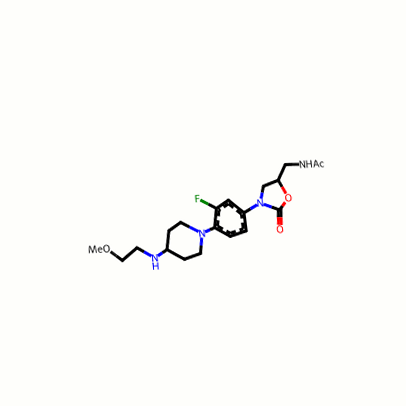 COCCNC1CCN(c2ccc(N3CC(CNC(C)=O)OC3=O)cc2F)CC1